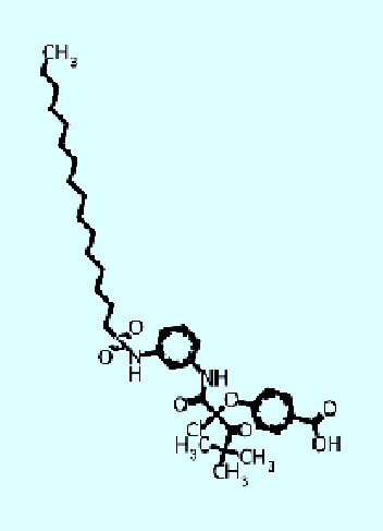 CCCCCCCCCCCCCCCCS(=O)(=O)Nc1cccc(NC(=O)C(Cl)(Oc2ccc(C(=O)O)cc2)C(=O)C(C)(C)C)c1